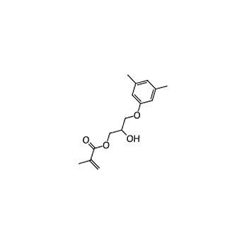 C=C(C)C(=O)OCC(O)COc1cc(C)cc(C)c1